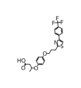 CC(CC(=O)O)Oc1ccc(OCCCc2nc(-c3ccc(C(F)(F)F)cc3)cs2)cc1